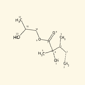 CCC(C)C(C)(O)C(=O)OCC(C)O